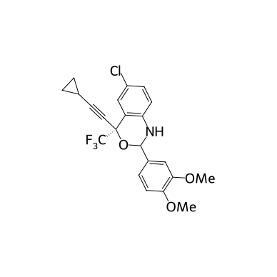 COc1ccc(C2Nc3ccc(Cl)cc3[C@@](C#CC3CC3)(C(F)(F)F)O2)cc1OC